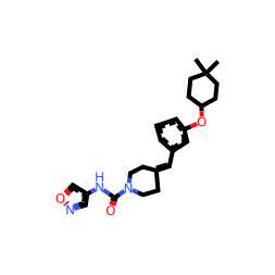 CC1(C)CCC(Oc2cccc(C=C3CCN(C(=O)Nc4cnoc4)CC3)c2)CC1